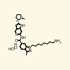 Cc1nn(CCCCCCCCN)c2cc(C(=O)Nc3cc4[nH]c([C@@H]5CCCN5C)cc4cn3)ccc12.Cl.Cl